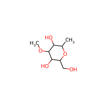 COC1C(O)C(C)OC(CO)C1O